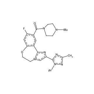 Cc1nc(-c2cn3c(n2)-c2cc(C(=O)N4CCN(C(C)(C)C)CC4)c(F)cc2OCC3)n(C(C)C)n1